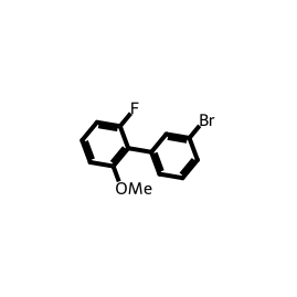 COc1cccc(F)c1-c1cccc(Br)c1